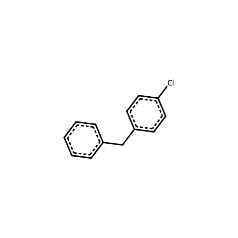 Clc1ccc([CH]c2ccccc2)cc1